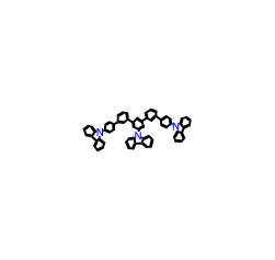 c1cc(-c2ccc(-n3c4ccccc4c4ccccc43)cc2)cc(-c2cc(-c3cccc(-c4ccc(-n5c6ccccc6c6ccccc65)cc4)c3)cc(-n3c4ccccc4c4ccccc43)c2)c1